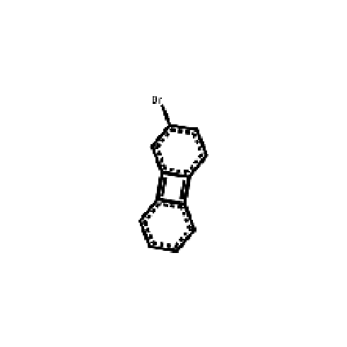 Brc1ccc2c(c1)=c1ccccc1=2